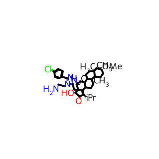 COC1CCC2(C)C(CCC3(C)C4CCC5(C(O)c6nnc(-c7ccc(Cl)cc7)n6CCN)CC(=O)C(C(C)C)=C5C4CCC32)C1(C)C